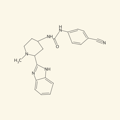 CN1CCC(NC(=O)Nc2ccc(C#N)cc2)CC1c1nc2ccccc2[nH]1